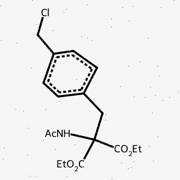 CCOC(=O)C(Cc1ccc(CCl)cc1)(NC(C)=O)C(=O)OCC